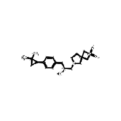 C[C@@H](Cc1ccc(C2CC2(C)C)cc1)CN1CCC2(C1)CS(=O)(=O)C2